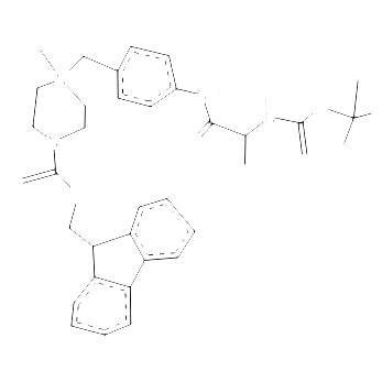 CC(NC(=O)OC(C)(C)C)C(=O)Nc1ccc(C[N+]2(C)CCN(C(=O)OCC3c4ccccc4-c4ccccc43)CC2)cc1